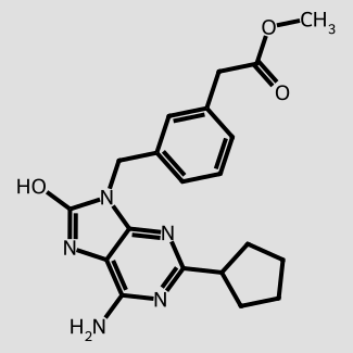 COC(=O)Cc1cccc(Cn2c(O)nc3c(N)nc(C4CCCC4)nc32)c1